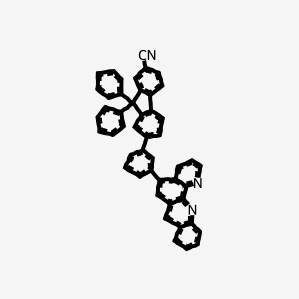 N#Cc1ccc2c(c1)C(c1ccccc1)(c1ccccc1)c1cc(-c3cccc(-c4cc5cc6ccccc6nc5c5ncccc45)c3)ccc1-2